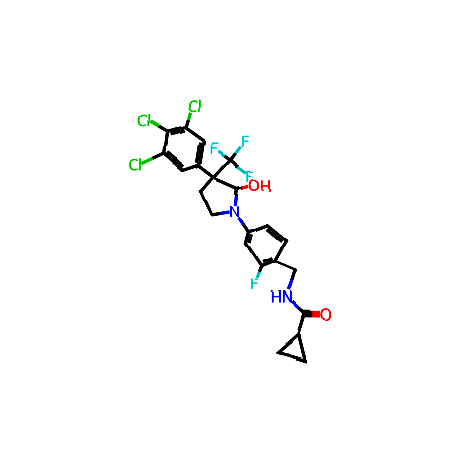 O=C(NCc1ccc(N2CCC(c3cc(Cl)c(Cl)c(Cl)c3)(C(F)(F)F)C2O)cc1F)C1CC1